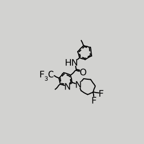 Cc1cccc(NC(=O)c2cc(C(F)(F)F)c(C)nc2N2CCCC(F)(F)CC2)c1